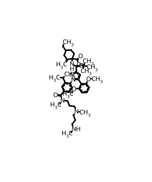 C=C1CC(CC)CCC1(NC(=O)c1cc(-c2c(OC)cccc2OC)n(-c2ccc(C(=O)N(C)CCCN(C)CCCNC)cc2C(C)C)n1)C(=O)OC(C)(C)C